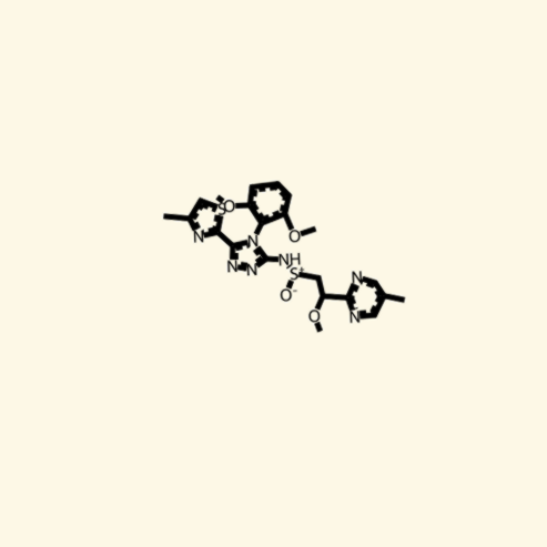 COc1cccc(OC)c1-n1c(N[S+]([O-])CC(OC)c2ncc(C)cn2)nnc1-c1nc(C)cs1